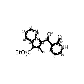 CCOC(=O)c1c(C)c(C(=O)c2ccc[nH]c2=O)n2ncccc12